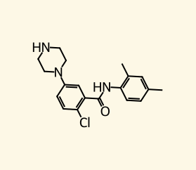 Cc1ccc(NC(=O)c2cc(N3CCNCC3)ccc2Cl)c(C)c1